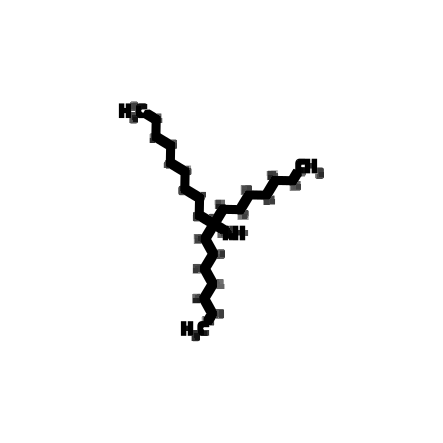 CCCCCCCCCC([NH])(CCCCCCC)CCCCCCC